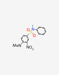 CNc1ccc(S(=O)(=O)N(C)c2ccccc2)cc1[N+](=O)[O-]